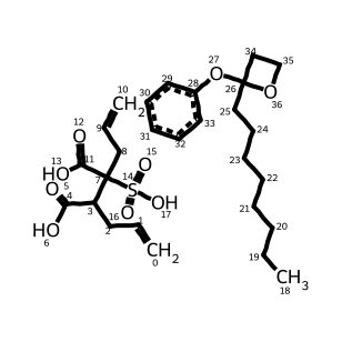 C=CCC(C(=O)O)C(CC=C)(C(=O)O)S(=O)(=O)O.CCCCCCCCC1(Oc2ccccc2)CCO1